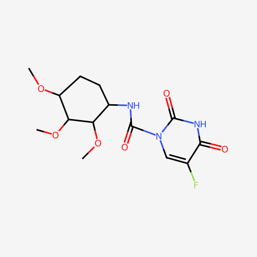 COC1CCC(NC(=O)n2cc(F)c(=O)[nH]c2=O)C(OC)C1OC